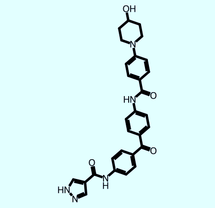 O=C(Nc1ccc(C(=O)c2ccc(NC(=O)c3cn[nH]c3)cc2)cc1)c1ccc(N2CCC(O)CC2)cc1